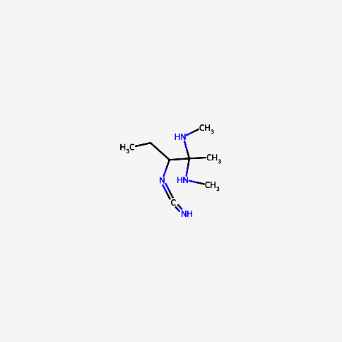 CCC(N=C=N)C(C)(NC)NC